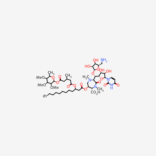 COC1C(C)OC(OC(=O)CC(C)CC(=O)OC(CCCCCCCCC(C)C)CC(=O)O[C@H]2CN(C)[C@@H]([C@H](O[C@@H]3O[C@H](CN)C(O)[C@@H]3O)[C@H]3OC(n4ccc(=O)[nH]c4=O)C(O)[C@H]3O)C(=O)N(C)[C@@H]2C(=O)O)C(OC)C1OC